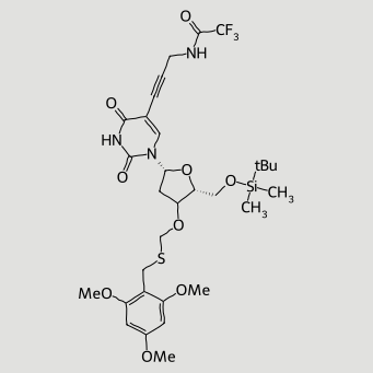 COc1cc(OC)c(CSCOC2C[C@H](n3cc(C#CCNC(=O)C(F)(F)F)c(=O)[nH]c3=O)O[C@@H]2CO[Si](C)(C)C(C)(C)C)c(OC)c1